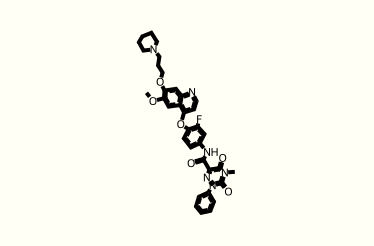 COc1cc2c(Oc3ccc(NC(=O)c4nn(-c5ccccc5)c(=O)n(C)c4=O)cc3F)ccnc2cc1OCCCN1CCCCC1